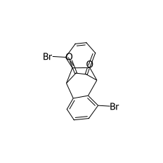 O=C1C(=O)C2c3cccc(Br)c3C1c1cccc(Br)c12